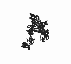 CC1=CC(=O)C(O)=C(CNC(=O)CCC(CCCNCc2c(O)c(=O)cc(C)n2C)(CCC(=O)NCc2c(O)c(=O)cc(C)n2C)NC(=O)CCNC(=O)CON2C(=O)C=CC2=O)C1C